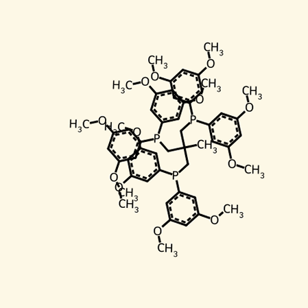 COc1cc(OC)cc(P(CC(C)(CP(c2cc(OC)cc(OC)c2)c2cc(OC)cc(OC)c2)CP(c2cc(OC)cc(OC)c2)c2cc(OC)cc(OC)c2)c2cc(OC)cc(OC)c2)c1